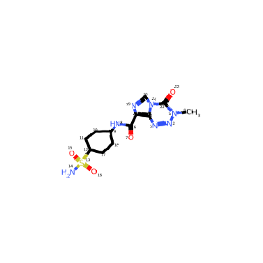 Cn1nnc2c(C(=O)NC3CCC(S(N)(=O)=O)CC3)ncn2c1=O